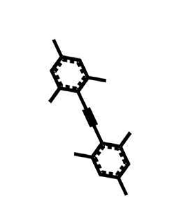 Cc1cc(C)c(C#Cc2c(C)cc(C)cc2C)c(C)c1